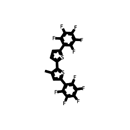 Cc1cc(-c2c(F)c(F)c(F)c(F)c2F)sc1-c1ccc(-c2c(F)c(F)c(F)c(F)c2F)s1